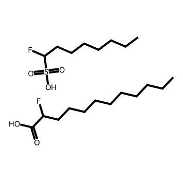 CCCCCCCC(F)S(=O)(=O)O.CCCCCCCCCCC(F)C(=O)O